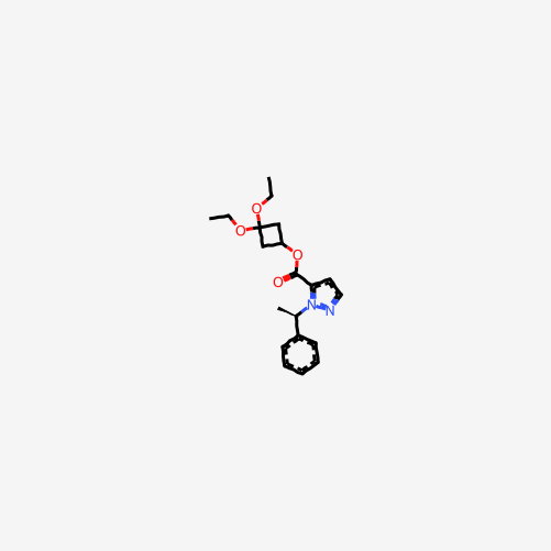 CCOC1(OCC)CC(OC(=O)c2ccnn2[C@H](C)c2ccccc2)C1